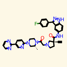 C#C[C@@]1(C(=O)Nc2ccc3[nH]nc(-c4ccc(F)cc4)c3c2)CCN(CC(=O)N2CCN(c3ccc(-c4ncccn4)cn3)C[C@H]2C)C1